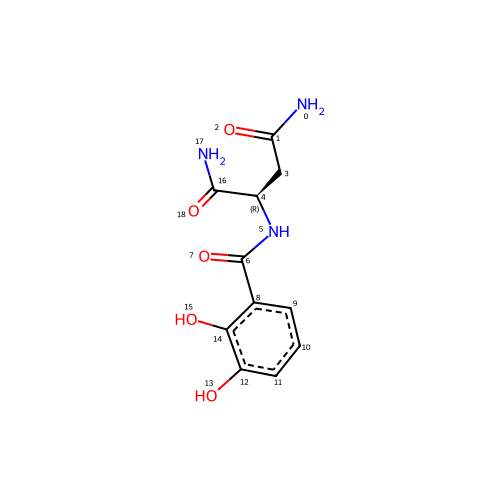 NC(=O)C[C@@H](NC(=O)c1cccc(O)c1O)C(N)=O